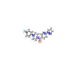 O=C(c1ccc(-n2cccn2)nc1)N1CCN(c2ccc(F)cc2)CC1